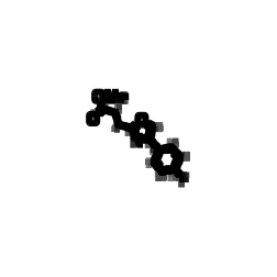 COC(=O)CCc1nc(-c2ccc(F)cc2)co1